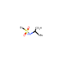 CCCCC(NS(=O)(=O)CC)C(=O)O